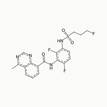 Cc1ncnc2c(C(=O)Nc3c(F)ccc(NS(=O)(=O)CCCF)c3F)cccc12